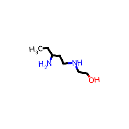 CCC(N)CCNCCO